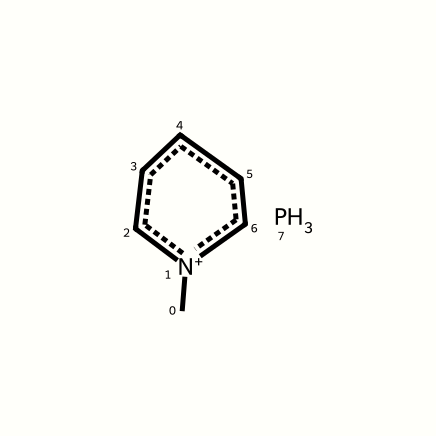 C[n+]1ccccc1.P